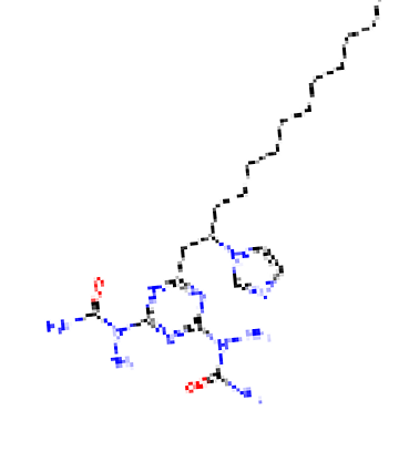 CCCCCCCCCCCC(Cc1nc(N(N)C(N)=O)nc(N(N)C(N)=O)n1)n1ccnc1